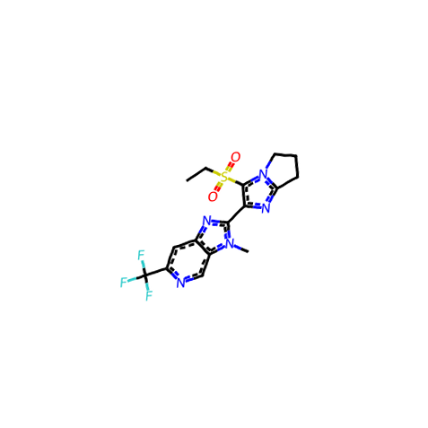 CCS(=O)(=O)c1c(-c2nc3cc(C(F)(F)F)ncc3n2C)nc2n1CCC2